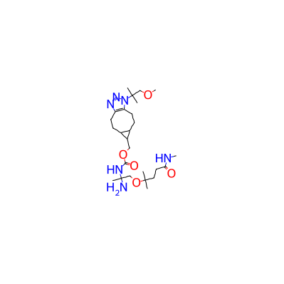 CNC(=O)CCC(C)(C)OCC(C)(N)NC(=O)OCC1C2CCc3nnn(C(C)(C)COC)c3CCC21